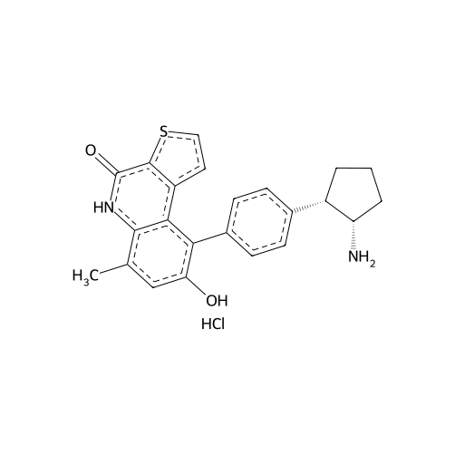 Cc1cc(O)c(-c2ccc([C@@H]3CCC[C@@H]3N)cc2)c2c1[nH]c(=O)c1sccc12.Cl